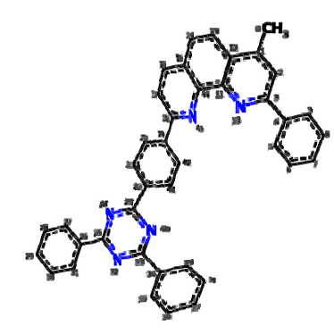 Cc1cc(-c2ccccc2)nc2c1ccc1ccc(-c3ccc(-c4nc(-c5ccccc5)nc(-c5ccccc5)n4)cc3)nc12